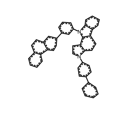 c1ccc(-c2ccc(-n3ccc4c3ccc3c5ccccc5n(-c5cccc(-c6ccc7c(ccc8ccccc87)c6)c5)c34)cc2)cc1